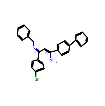 N/C(=C\C(=N/Cc1ccccc1)c1ccc(Br)cc1)c1ccc(-c2ccccc2)cc1